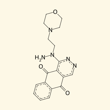 NN(CCN1CCOCC1)c1nncc2c1C(=O)c1ccccc1C2=O